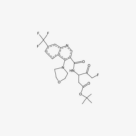 CC(C)(C)OC(=O)CC(NC(=O)c1cnc2cc(C(F)(F)F)ccc2c1N1CCOCC1)C(=O)CF